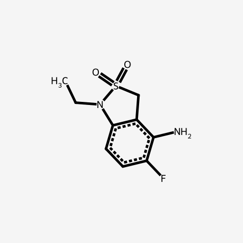 CCN1c2ccc(F)c(N)c2CS1(=O)=O